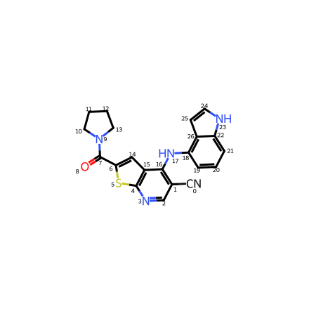 N#Cc1cnc2sc(C(=O)N3CCCC3)cc2c1Nc1cccc2[nH]ccc12